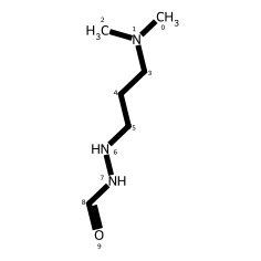 CN(C)CCCNNC=O